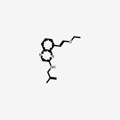 C=C(C)CNc1cnc2cccc(C=COCC)c2n1